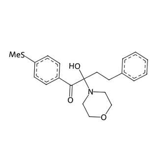 CSc1ccc(C(=O)C(O)(CCc2ccccc2)N2CCOCC2)cc1